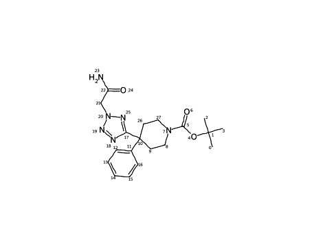 CC(C)(C)OC(=O)N1CCC(c2ccccc2)(c2nnn(CC(N)=O)n2)CC1